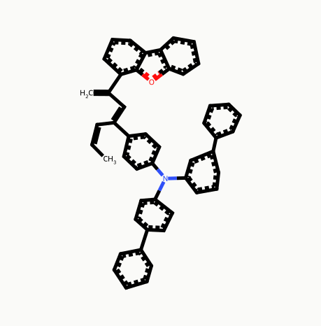 C=C(/C=C(\C=C/C)c1ccc(N(c2ccc(-c3ccccc3)cc2)c2cccc(-c3ccccc3)c2)cc1)c1cccc2c1oc1ccccc12